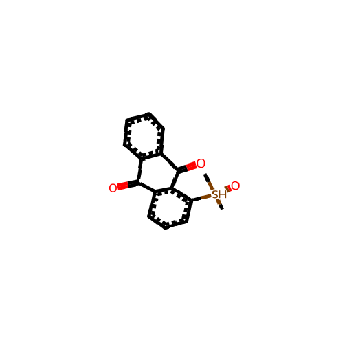 C[SH](C)(=O)c1cccc2c1C(=O)c1ccccc1C2=O